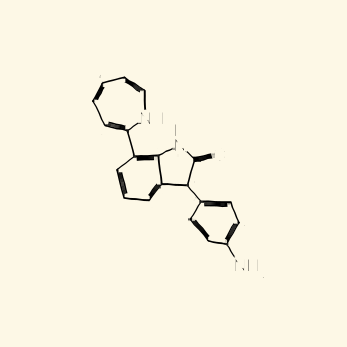 Nc1ccc(C2C(=O)Nc3c(C4=CC=CC=CN4)cccc32)cc1